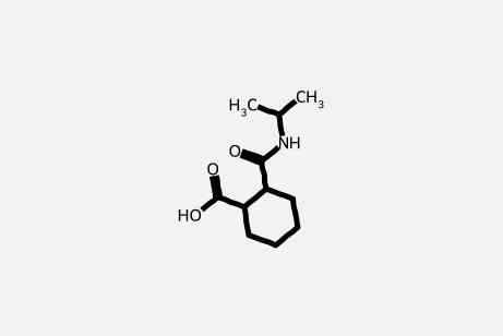 CC(C)NC(=O)C1CCCCC1C(=O)O